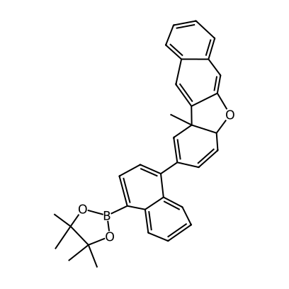 CC12C=C(c3ccc(B4OC(C)(C)C(C)(C)O4)c4ccccc34)C=CC1Oc1cc3ccccc3cc12